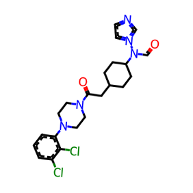 O=CN(C1CCC(CC(=O)N2CCN(c3cccc(Cl)c3Cl)CC2)CC1)n1ccnc1